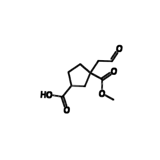 COC(=O)C1(CC=O)CCC(C(=O)O)C1